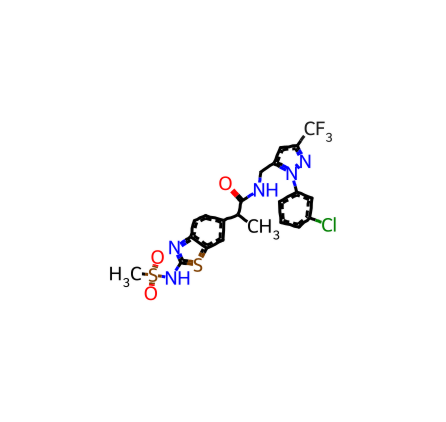 CC(C(=O)NCc1cc(C(F)(F)F)nn1-c1cccc(Cl)c1)c1ccc2nc(NS(C)(=O)=O)sc2c1